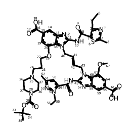 CCc1nc(C)sc1C(=O)Nc1nc2cc(C(=O)O)cc(OCCCN3CCN(C(=O)OC(C)(C)C)CC3)c2n1CC=CCn1c(NC(=O)c2cc(C)nn2CC)nc2cc(C(=O)O)cc(OC)c21